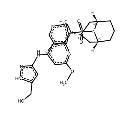 COc1cc(Nc2cc(CO)[nH]n2)nc(N(C)[C@H]2C[C@H]3CCC[C@@H](C2)N3S(=O)(=O)c2cncc(F)c2)n1